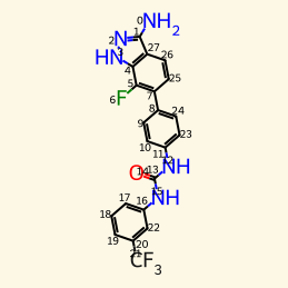 Nc1n[nH]c2c(F)c(-c3ccc(NC(=O)Nc4cccc(C(F)(F)F)c4)cc3)ccc12